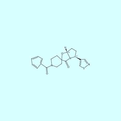 O=C(c1ccccc1)N1CCC2(CC1)O[C@@H]1CC[C@@H](c3cnsc3)N1C2=O